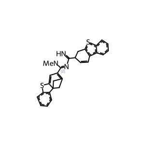 CN/C(=N\C(=N)C1C=Cc2c(sc3ccccc23)C1)C1=C2CC3(C2)C(=C1)Sc1ccccc13